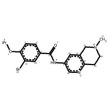 CC(C)Oc1ccc(C(=O)Nc2cnc3c(c2)CN(C)CC3)cc1Br